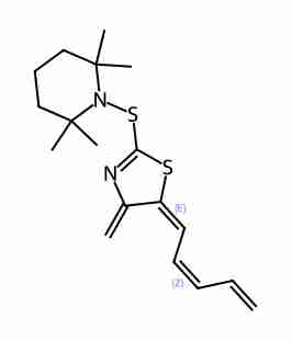 C=C/C=C\C=c1\sc(SN2C(C)(C)CCCC2(C)C)nc1=C